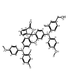 COc1ccc(N(c2ccc3c(c2)Oc2cc(N(c4ccc(OC)cc4)c4ccc(CO)cc4C)ccc2C32OC(=O)c3ccccc32)c2ccc(C)cc2C)cc1